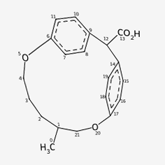 CC1CCCOc2ccc(cc2)C(C(=O)O)c2ccc(cc2)OC1